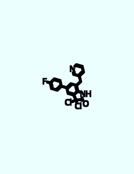 O=C1Nc2c(Cc3cccnc3)cc(-c3ccc(F)cc3)cc2C1(Cl)Cl